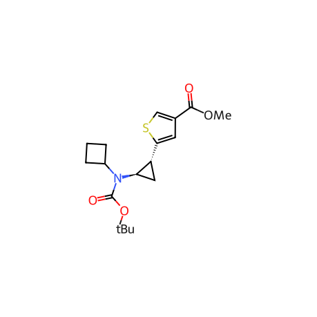 COC(=O)c1csc([C@@H]2C[C@H]2N(C(=O)OC(C)(C)C)C2CCC2)c1